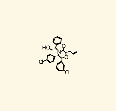 C=CC[C@H]1O[C@H](c2cccc(Cl)c2)[C@H](c2ccc(Cl)cc2)N([C@H](CO)c2ccccc2)C1=O